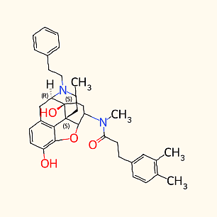 Cc1ccc(CCC(=O)N(C)C2CC(C)[C@@]3(O)[C@H]4Cc5ccc(O)c6c5[C@@]3(CCN4CCc3ccccc3)C2O6)cc1C